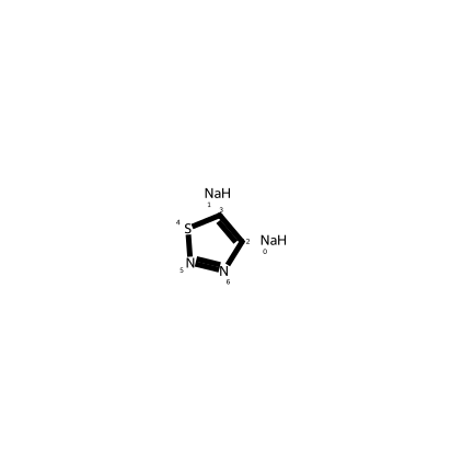 [NaH].[NaH].c1csnn1